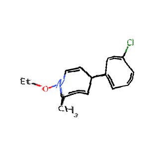 CCON1C=CC(c2cccc(Cl)c2)C=C1C